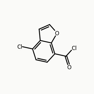 O=C(Cl)c1ccc(Cl)c2ccoc12